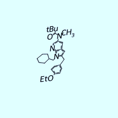 CCOc1ccc(Cc2cc3cc(N(C)C(=O)C(C)(C)C)cnc3n2CC2CCCCC2)cc1